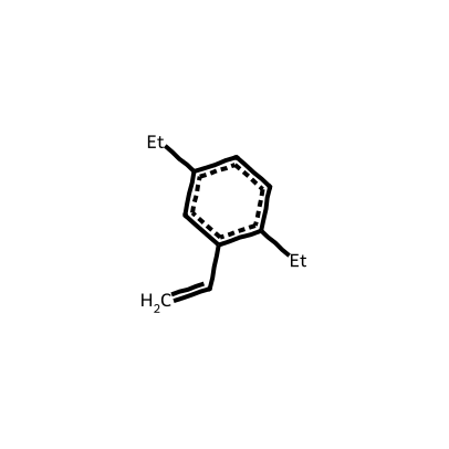 C=Cc1cc(CC)ccc1CC